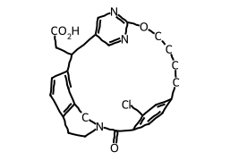 O=C(O)CC1c2cnc(nc2)OCCCCc2ccc(c(Cl)c2)C(=O)N2CCc3ccc1cc3C2